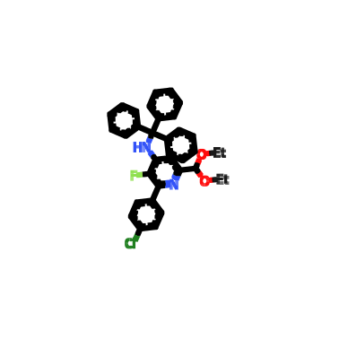 CCOC(OCC)c1cc(NC(c2ccccc2)(c2ccccc2)c2ccccc2)c(F)c(-c2ccc(Cl)cc2)n1